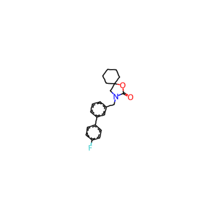 O=C1OC2(CCCCC2)CN1Cc1cccc(-c2ccc(F)cc2)c1